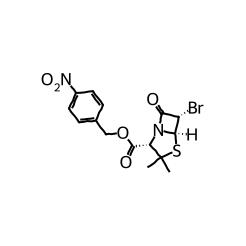 CC1(C)S[C@@H]2[C@@H](Br)C(=O)N2[C@H]1C(=O)OCc1ccc([N+](=O)[O-])cc1